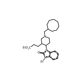 CCOC(=O)CCC1CN(CC2CCCCCCC2)CCC1n1c(=O)n(CC)c2ccccc21